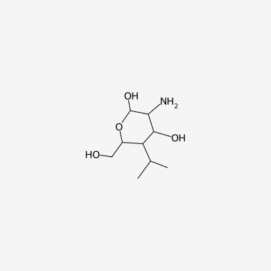 CC(C)C1C(CO)OC(O)C(N)C1O